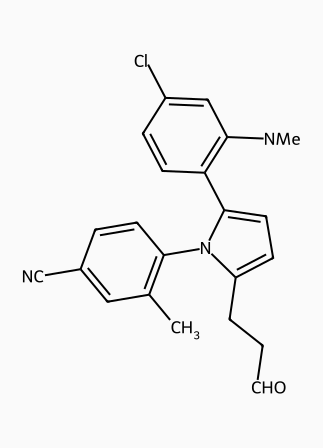 CNc1cc(Cl)ccc1-c1ccc(CCC=O)n1-c1ccc(C#N)cc1C